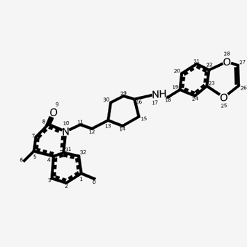 Cc1ccc2c(C)cc(=O)n(CCC3CCC(NCc4ccc5c(c4)OC=CO5)CC3)c2c1